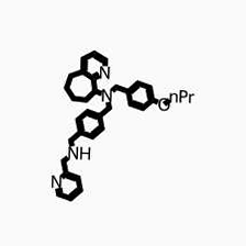 CCCOc1ccc(CN(Cc2ccc(CNCc3ccccn3)cc2)C2CCCCc3cccnc32)cc1